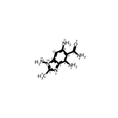 Cc1nc2c(N)c(C(N)=O)c(N)cc2n1N